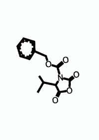 CC(C)C1C(=O)OC(=O)N1C(=O)OCc1ccccc1